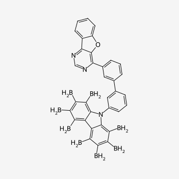 Bc1c(B)c(B)c2c(c1B)c1c(B)c(B)c(B)c(B)c1n2-c1cccc(-c2cccc(-c3ncnc4c3oc3ccccc34)c2)c1